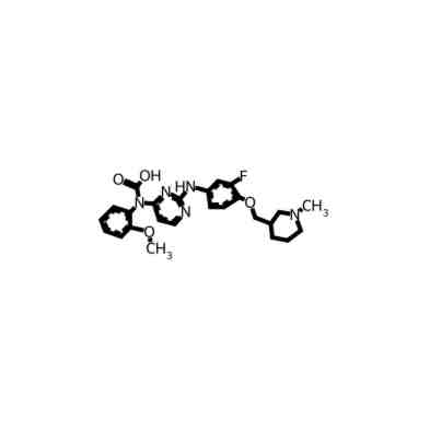 COc1ccccc1N(C(=O)O)c1ccnc(Nc2ccc(OCC3CCCN(C)C3)c(F)c2)n1